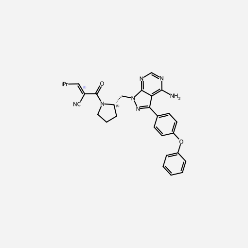 CC(C)/C=C(\C#N)C(=O)N1CCC[C@H]1Cn1nc(-c2ccc(Oc3ccccc3)cc2)c2c(N)ncnc21